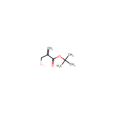 BCC(=C)C(=O)OC(C)(C)C